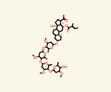 C/C=C(\C)C(=O)O[C@@H]1CC2C(CC=C3C[C@@H](OC4CC(OC)C(OC5CC(OC)C(OC6C[C@@H](OC)C(OC7CC(OC)C(O)C(C)O7)C(C)O6)C(C)O5)C(C)O4)CC[C@@]32C)[C@@]2(O)CCC(C(C)=O)[C@@]12C